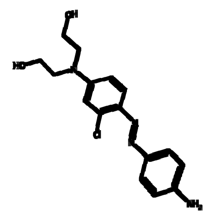 Nc1ccc(N=Nc2ccc(N(CCO)CCO)cc2Cl)cc1